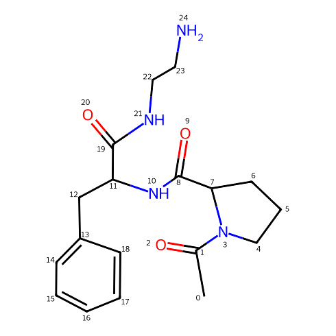 CC(=O)N1CCCC1C(=O)NC(Cc1ccccc1)C(=O)NCCN